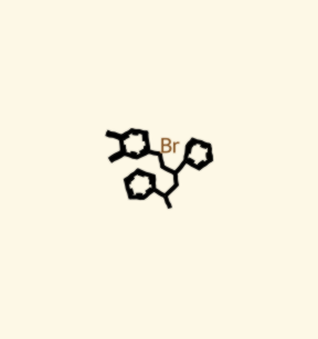 C=c1ccc(C(Br)CC(CC(C)c2ccccc2)c2ccccc2)cc1=C